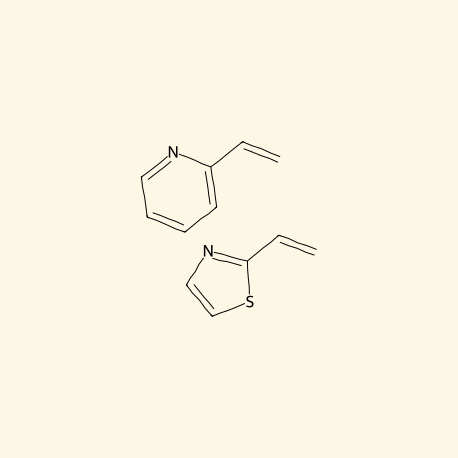 C=Cc1ccccn1.C=Cc1nccs1